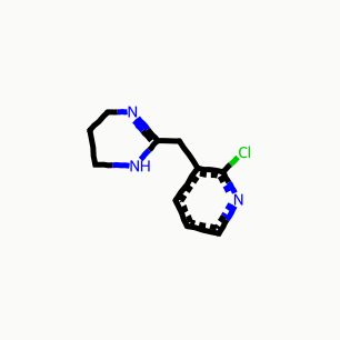 Clc1ncccc1CC1=NCCCN1